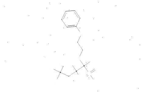 CC(C)(C)CC(C)(C)C(C)(OCCOc1ccccc1)S(=O)(=O)O.[Na]